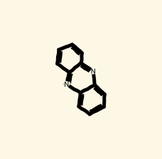 c1ccc2c(c1)N=c1ccccc1=[N+]2